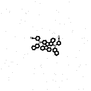 N#Cc1cccc(N(c2ccc3c(c2)C2(c4ccccc4-c4ccccc42)c2cc(N(c4cccc(C#N)c4)c4ccc5ccccc5c4)c4ccccc4c2-3)c2ccc3ccccc3c2)c1